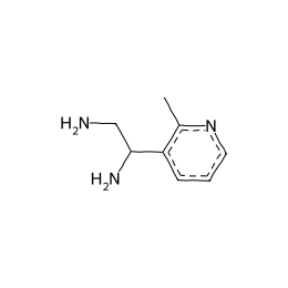 Cc1ncccc1C(N)CN